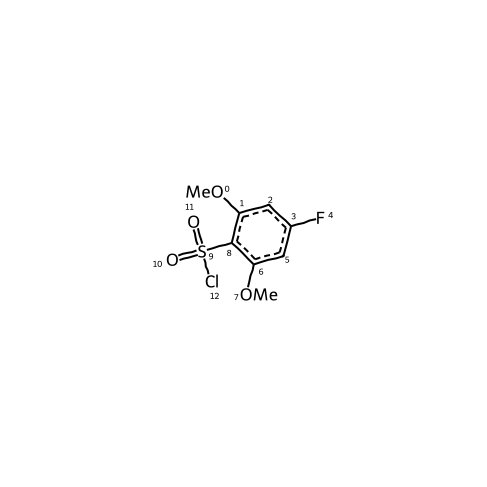 COc1cc(F)cc(OC)c1S(=O)(=O)Cl